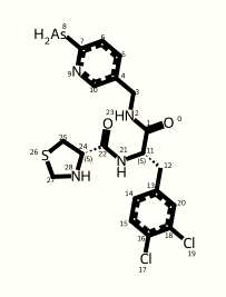 O=C(NCc1ccc([AsH2])nc1)[C@H](Cc1ccc(Cl)c(Cl)c1)NC(=O)[C@H]1CSCN1